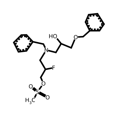 CS(=O)(=O)OCC(F)CN(Cc1ccccc1)CC(O)COCc1ccccc1